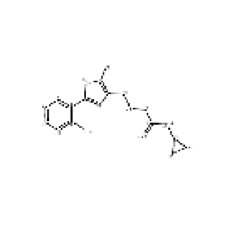 Cc1oc(-c2ccccc2F)nc1CSCC(=O)NC1CC1